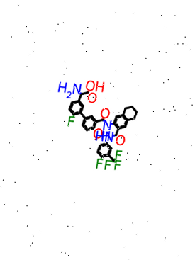 COc1ccc(-c2cc(C(N)C(=O)O)ccc2F)cc1C(=O)Nc1cc2c(cc1C(=O)Nc1ccc(F)c(C(F)(F)F)c1)CCCC2